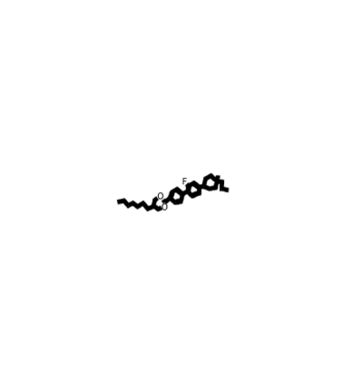 CCCCCCCC1COC(c2ccc(-c3ccc(C4CCC(C)(CCC)CC4)cc3F)cc2)OC1